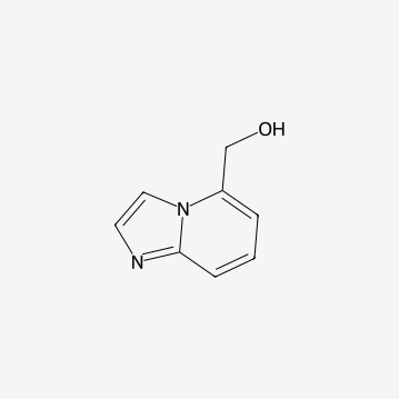 OCc1cccc2nccn12